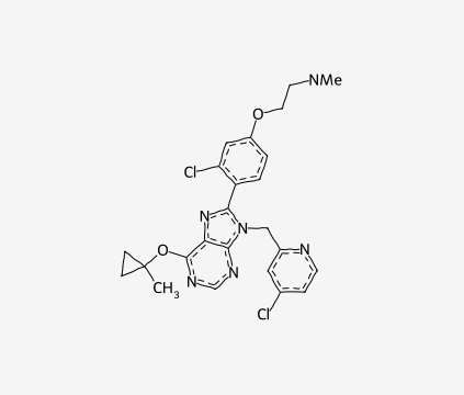 CNCCOc1ccc(-c2nc3c(OC4(C)CC4)ncnc3n2Cc2cc(Cl)ccn2)c(Cl)c1